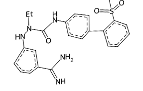 CCN(Nc1cccc(C(=N)N)c1)C(=O)Nc1ccc(-c2ccccc2S(N)(=O)=O)cc1